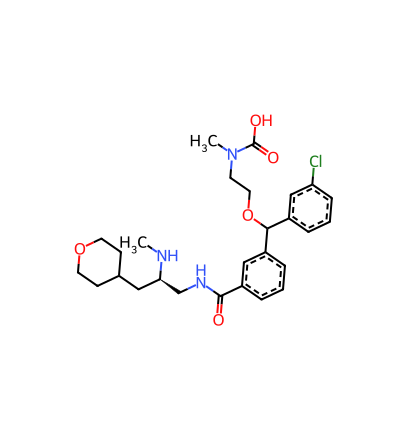 CN[C@@H](CNC(=O)c1cccc(C(OCCN(C)C(=O)O)c2cccc(Cl)c2)c1)CC1CCOCC1